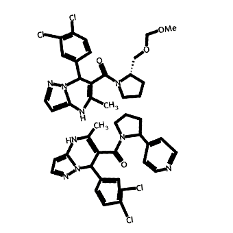 CC1=C(C(=O)N2CCCC2c2ccncc2)C(c2ccc(Cl)c(Cl)c2)n2nccc2N1.COCOC[C@@H]1CCCN1C(=O)C1=C(C)Nc2ccnn2C1c1ccc(Cl)c(Cl)c1